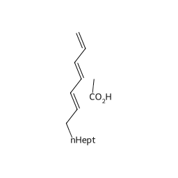 C=CC=CC=CCCCCCCCC.CC(=O)O